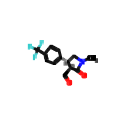 CN1C[C@@H](c2ccc(C(F)(F)F)cc2)[C@H](C=O)C1=O